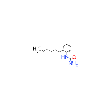 CCCCCCc1ccccc1NC(N)=O